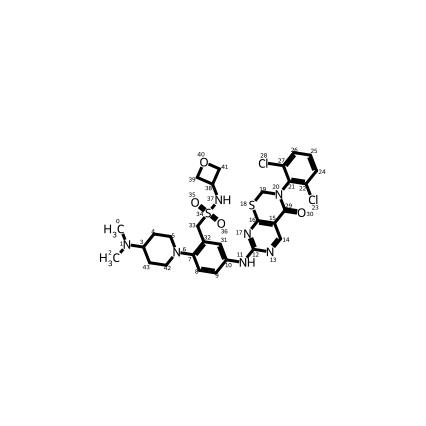 CN(C)C1CCN(c2ccc(Nc3ncc4c(n3)SCN(c3c(Cl)cccc3Cl)C4=O)cc2CS(=O)(=O)NC2COC2)CC1